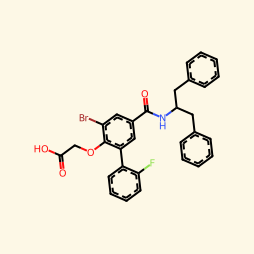 O=C(O)COc1c(Br)cc(C(=O)NC(Cc2ccccc2)Cc2ccccc2)cc1-c1ccccc1F